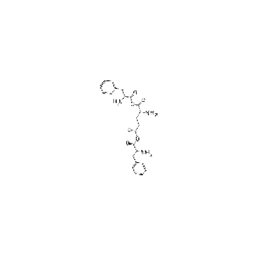 NC(Cc1ccccc1)C(=O)OC(=O)CCC(N)C(=O)OC(=O)C(N)Cc1ccccc1